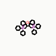 c1ccc([PH](Cc2cocc2C[PH](c2ccccc2)(c2ccccc2)c2ccccc2)(c2ccccc2)c2ccccc2)cc1